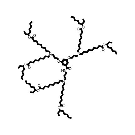 CCCCCC(CC)OC(=O)CCCCCCCCN(CCCCCCCCC(=O)OC(CC)CCCCC)CCCNC(=O)c1cc(OCCCN(CCCCCCCCC(=O)OC(CC)CCCCC)CCCCCCCCC(=O)OC(CC)CCCCC)cc(OCCCN(CCCCCCCCC(=O)OC(CC)CCCCC)CCCCCCCCC(=O)OC(CC)CCCCC)c1